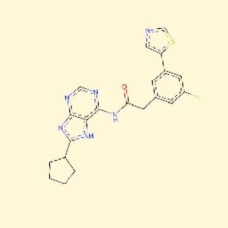 O=C(Cc1cc(F)cc(-c2cncs2)c1)Nc1ncnc2nc(C3CCCC3)[nH]c12